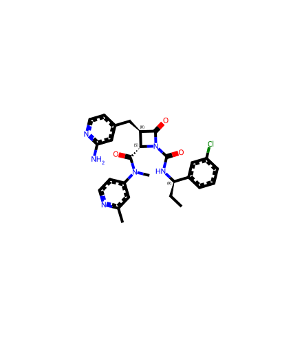 CC[C@@H](NC(=O)N1C(=O)[C@H](Cc2ccnc(N)c2)[C@H]1C(=O)N(C)c1ccnc(C)c1)c1cccc(Cl)c1